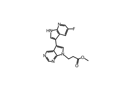 COC(=O)CCn1cc(-c2c[nH]c3ncc(F)cc23)c2cncnc21